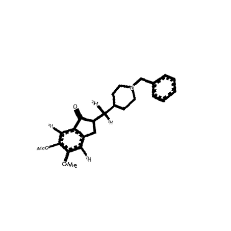 [2H]c1c2c(c([2H])c(OC)c1OC)C(=O)C(C([2H])([2H])C1CCN(Cc3ccccc3)CC1)C2